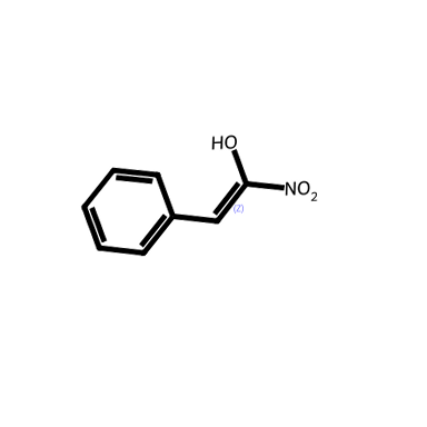 O=[N+]([O-])/C(O)=C/c1ccccc1